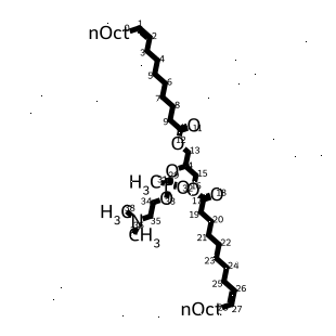 CCCCCCCC/C=C\CCCCCCCC(=O)OCC(COC(=O)CCCCCCC/C=C\CCCCCCCC)OP(C)(=O)OCCN(C)C